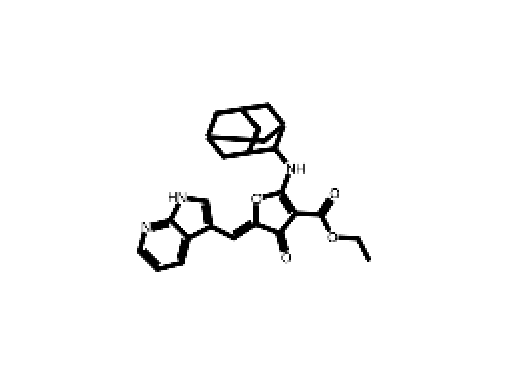 CCOC(=O)C1=C(NC2C3CC4CC(C3)CC2C4)OC(=Cc2c[nH]c3ncccc23)C1=O